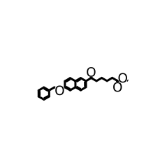 COC(=O)CCCCC(=O)c1ccc2cc(OCc3ccccc3)ccc2c1